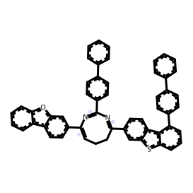 C1=C(c2ccc3c(c2)oc2ccccc23)/N=C(c2ccc(-c3ccccc3)cc2)\N=C(\c2ccc3c(c2)sc2cccc(-c4ccc(-c5ccccc5)cc4)c23)CC\1